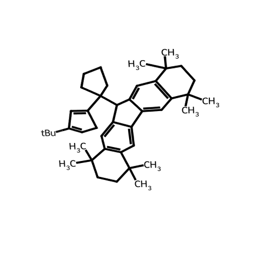 CC(C)(C)C1=CCC(C2(C3c4cc5c(cc4-c4cc6c(cc43)C(C)(C)CCC6(C)C)C(C)(C)CCC5(C)C)CCCC2)=C1